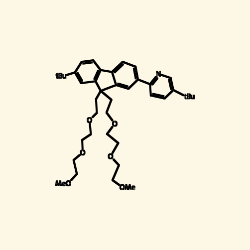 COCCOCCOCCC1(CCOCCOCCOC)c2cc(-c3ccc(C(C)(C)C)cn3)ccc2-c2ccc(C(C)(C)C)cc21